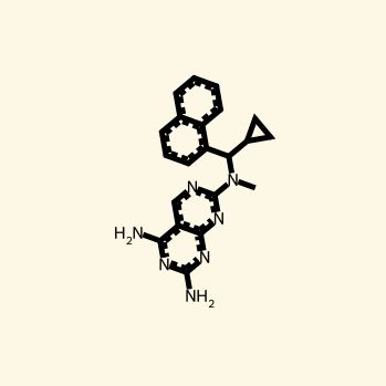 CN(c1ncc2c(N)nc(N)nc2n1)C(c1cccc2ccccc12)C1CC1